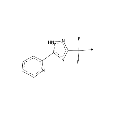 FC(F)(F)c1n[nH]c(-c2ccccn2)n1